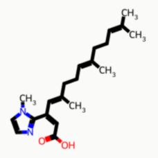 CC(C)=CCC/C(C)=C/CC/C(C)=C/C(=C/C(=O)O)c1nccn1C